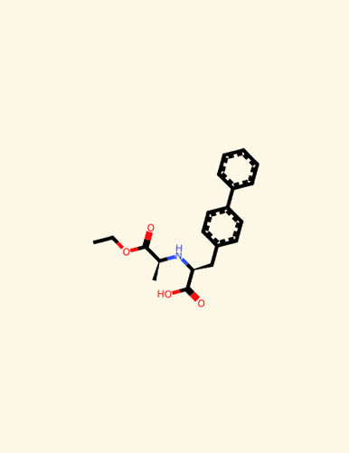 CCOC(=O)[C@H](C)N[C@@H](Cc1ccc(-c2ccccc2)cc1)C(=O)O